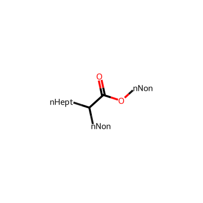 CCCCCCCCCOC(=O)C(CCCCCCC)CCCCCCCCC